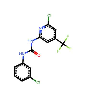 O=C(Nc1cccc(Cl)c1)Nc1cc(C(F)(F)F)cc(Cl)n1